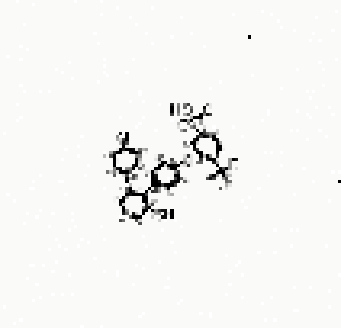 O=S(=O)(O)c1ccc(C(F)(F)F)cc1.Sc1cccc(-c2ccc(Cl)cc2)c1-c1ccc(Cl)cc1